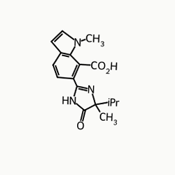 CC(C)C1(C)N=C(c2ccc3ccn(C)c3c2C(=O)O)NC1=O